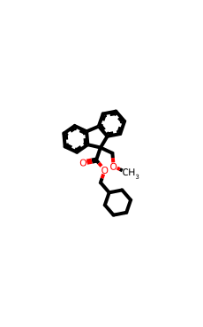 COCC1(C(=O)OCC2CCCCC2)c2ccccc2-c2ccccc21